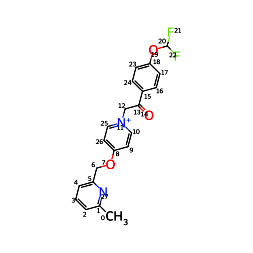 Cc1cccc(COc2cc[n+](CC(=O)c3ccc(OC(F)F)cc3)cc2)n1